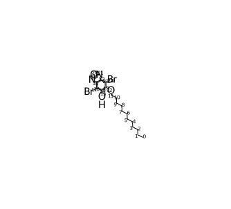 CCCCCCCCCCCCOc1c(O)c(Br)c2nonc2c1Br